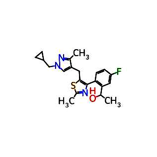 Cc1nc(-c2ccc(F)cc2C(C)O)c(Cc2cn(CC3CC3)nc2C)s1